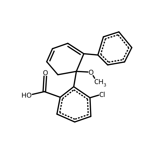 COC1(c2c(Cl)cccc2C(=O)O)CC=CC=C1c1ccccc1